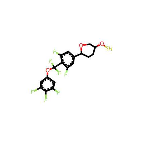 Fc1cc(OC(F)(F)c2c(F)cc(C3CCC(OS)CO3)cc2F)cc(F)c1F